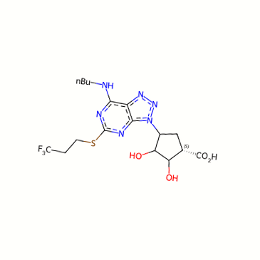 CCCCNc1nc(SCCC(F)(F)F)nc2c1nnn2C1C[C@H](C(=O)O)C(O)C1O